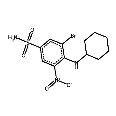 NS(=O)(=O)c1cc(Br)c(NC2CCCCC2)c([N+](=O)[O-])c1